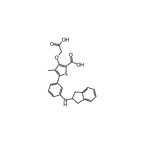 Cc1c(-c2cccc(NC3Cc4ccccc4C3)c2)sc(C(=O)O)c1OCC(=O)O